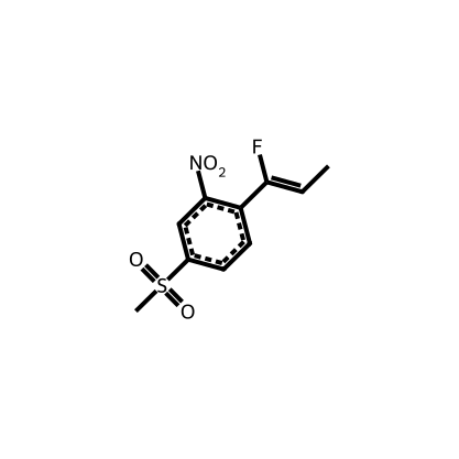 CC=C(F)c1ccc(S(C)(=O)=O)cc1[N+](=O)[O-]